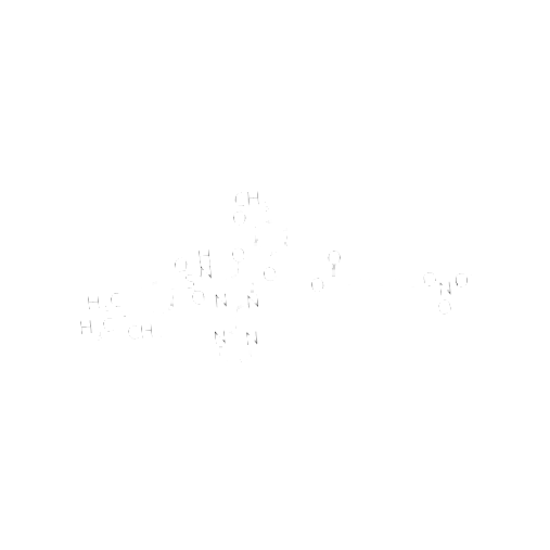 COc1ccccc1Oc1c(NS(=O)(=O)c2ccc(C(C)(C)C)cc2)nc(-c2ncccn2)nc1OCCOC(=O)CCCCCO[N+](=O)[O-]